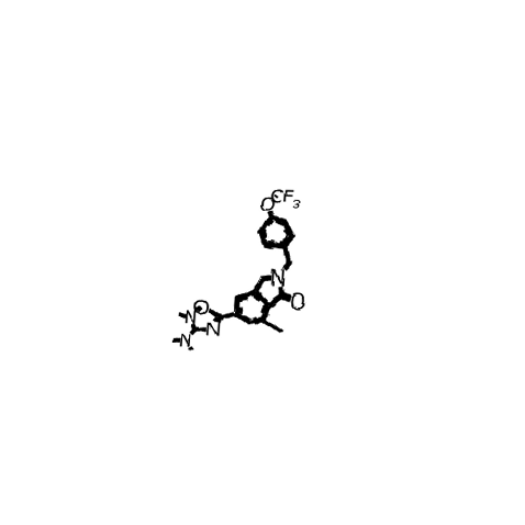 Cc1cc(C2=NC(N(C)C)N(C)O2)cc2c1C(=O)N(Cc1ccc(OC(F)(F)F)cc1)C2